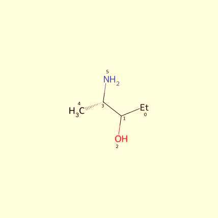 CCC(O)[C@H](C)N